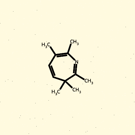 CC1=NC(C)=C(C)C=CC1(C)C